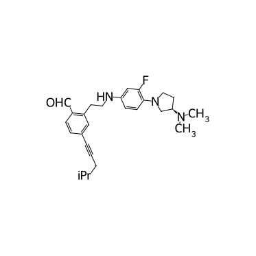 CC(C)CC#Cc1ccc(C=O)c(CCNc2ccc(N3CC[C@@H](N(C)C)C3)c(F)c2)c1